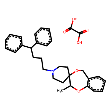 CC1Oc2ccccc2COC12CCN(CCCC(c1ccccc1)c1ccccc1)CC2.O=C(O)C(=O)O